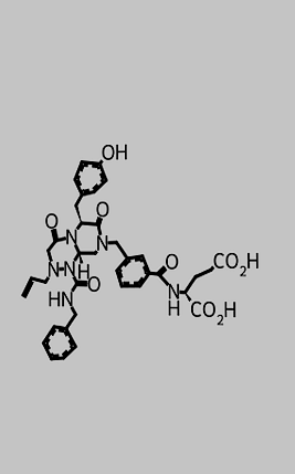 C=CCN1CC(=O)N2[C@@H](Cc3ccc(O)cc3)C(=O)N(Cc3cccc(C(=O)N[C@@H](CCC(=O)O)C(=O)O)c3)C[C@@H]2N1C(=O)NCc1ccccc1